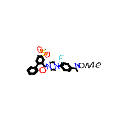 CON=C(C)c1ccc(N2CCN(C(=O)c3cc(S(C)(=O)=O)ccc3-c3ccccc3)CC2)c(F)c1